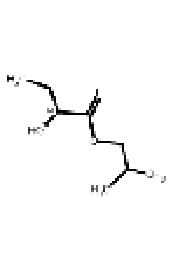 CC[C@H](O)C(=O)OCC(C)C